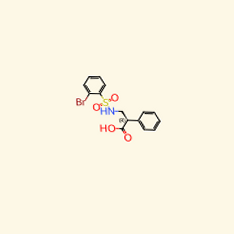 O=C(O)[C@@H](CNS(=O)(=O)c1ccccc1Br)c1ccccc1